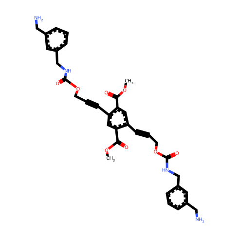 COC(=O)c1cc(C#CCOC(=O)NCc2cccc(CN)c2)c(C(=O)OC)cc1C#CCOC(=O)NCc1cccc(CN)c1